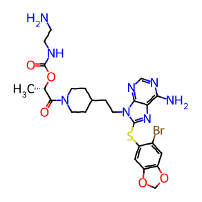 C[C@H](OC(=O)NCCN)C(=O)N1CCC(CCn2c(Sc3cc4c(cc3Br)OCO4)nc3c(N)ncnc32)CC1